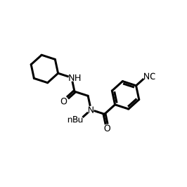 [C-]#[N+]c1ccc(C(=O)N(CCCC)CC(=O)NC2CCCCC2)cc1